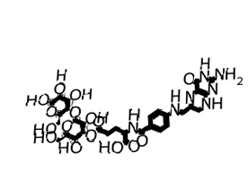 Nc1nc2c(c(=O)[nH]1)N=C(CNc1ccc(C(=O)NC(CCC(=O)O[C@@H]3[C@@H](O)[C@@H](O[C@H]4[C@H](O)[C@@H](O)[C@H](O)O[C@@H]4CO)O[C@H](CO)[C@H]3O)C(=O)O)cc1)CN2